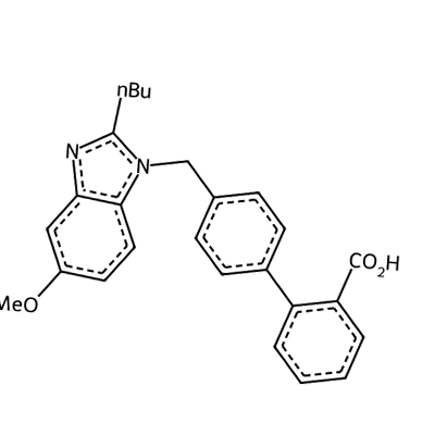 CCCCc1nc2cc(OC)ccc2n1Cc1ccc(-c2ccccc2C(=O)O)cc1